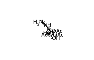 CC(=O)OC(CO)C(OC(C)=O)C(OC(C)=O)C(O)CNCCNCCN